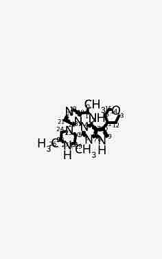 CC(Nc1ncnc2[nH]cc(C3CCOCC3)c12)c1cncc(N2C[C@@H](C)N[C@@H](C)C2)n1